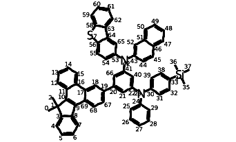 CC1(C)c2ccccc2-c2c1c1ccccc1c1cc(-c3cc(N(c4ccccc4)c4ccc([Si](C)(C)C)cc4)cc(N(c4ccc5ccccc5c4)c4ccc5sc6ccccc6c5c4)c3)ccc21